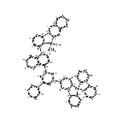 CC1(C)c2cc3ccccc3cc2-c2cccc(-c3ccc(-c4nc(-c5ccccc5)cc(-c5ccc6c(c5)-c5ccccc5C6(c5ccccc5)c5ccccc5)n4)c4ccccc34)c21